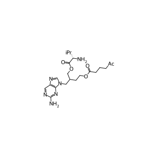 CC(=O)CCCC(=O)OCCC(COC(=O)[C@@H](N)C(C)C)Cn1cnc2cnc(N)nc21